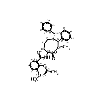 COc1ccnc(C(=O)N[C@H]2CCC[C@H](Cc3ccccc3)[C@@H](c3ccccc3)[C@H](C)OC2=O)c1OC(C)=O